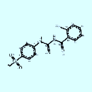 CS(=O)(=O)c1ccc(NC(=S)NC(=O)c2ccccc2F)cc1